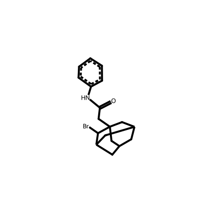 O=C(CC12CC3CC(CC(C3)C1Br)C2)Nc1ccccc1